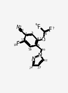 N#Cc1cc(OC(F)F)c(Cn2cccn2)cc1F